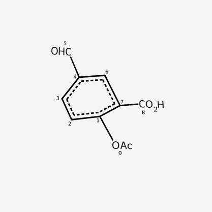 CC(=O)Oc1ccc(C=O)cc1C(=O)O